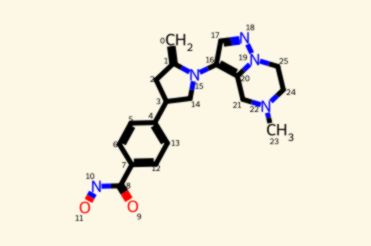 C=C1CC(c2ccc(C(=O)N=O)cc2)CN1c1cnn2c1CN(C)CC2